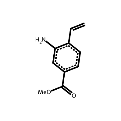 C=Cc1ccc(C(=O)OC)cc1N